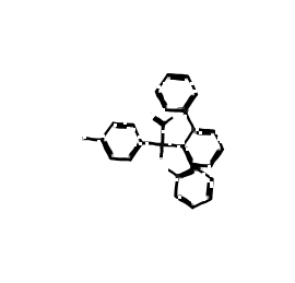 O=C(O)C(Oc1ccccc1)(c1ccc(Cl)cc1)c1ccccc1-c1ccccc1